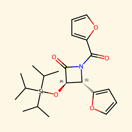 CC(C)[Si](O[C@H]1C(=O)N(C(=O)c2ccco2)[C@@H]1c1ccco1)(C(C)C)C(C)C